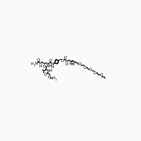 CCCOCCOCCOCCOCCOCCn1cc(CNC(=O)OCc2ccc(NC(=O)[C@H](CCCNC(N)=O)NC(=O)[C@@H](NC(=O)CON)C(C)C)cc2)nn1